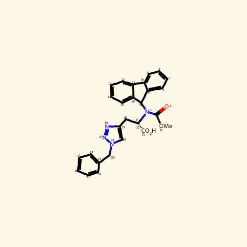 COC(=O)N(C1c2ccccc2-c2ccccc21)[C@@H](Cc1cn(Cc2ccccc2)nn1)C(=O)O